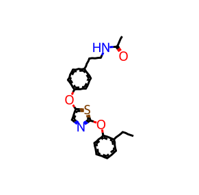 CCc1ccccc1Oc1ncc(Oc2ccc(CCNC(C)=O)cc2)s1